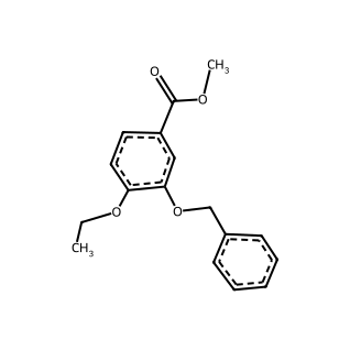 CCOc1ccc(C(=O)OC)cc1OCc1ccccc1